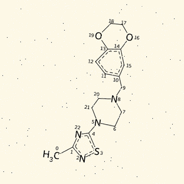 Cc1nsc(N2CCN(Cc3ccc4c(c3)OCCO4)CC2)n1